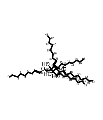 CCCCCCCC=COCC(O)(C=CCCCCCCC)C(O)(C=CCCCCCCC)C(O)(C=CCCCCCCC)C(O)C=CCCCCCCC